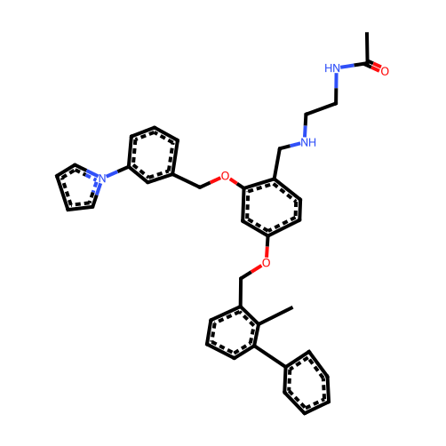 CC(=O)NCCNCc1ccc(OCc2cccc(-c3ccccc3)c2C)cc1OCc1cccc(-n2cccc2)c1